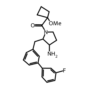 COC1(C(=O)N2CCC(N)C2Cc2cccc(-c3cccc(F)c3)c2)CCC1